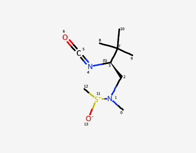 CN(C[C@@H](N=C=O)C(C)(C)C)[S+](C)[O-]